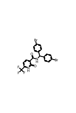 O=C(NC(c1ccc(Br)cc1)c1ccc(Br)cc1)c1ccc(C(F)(F)F)[nH]c1=O